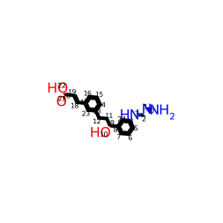 NN=CNc1cccc(C(O)CCc2cccc(C=CC(=O)O)c2)c1